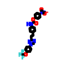 O=C(Nc1ccc(C=Cc2ncn(-c3ccc(OC(F)(F)F)cc3)n2)cc1)Oc1ccc([N+](=O)[O-])cc1